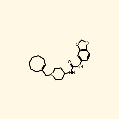 O=C(Nc1ccc2c(c1)OCO2)NC1CCN(CC2=CCCCCCC2)CC1